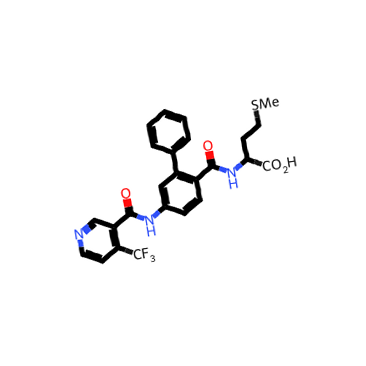 CSCCC(NC(=O)c1ccc(NC(=O)c2cnccc2C(F)(F)F)cc1-c1ccccc1)C(=O)O